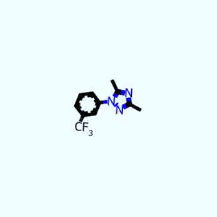 Cc1nc(C)n(-c2cccc(C(F)(F)F)c2)n1